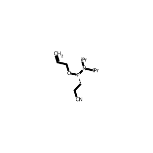 C=CCO[P@@](CCC#N)N(C(C)C)C(C)C